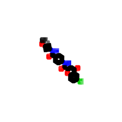 O=C1C[C@H](C(=O)NC2CCC(C(=O)NC3CC(OC(F)(F)F)C3)CC2)Oc2ccc(Cl)cc21